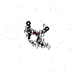 CC(C)(C)OC(=O)N[C@H]1CCCCCCC[C@@H]2C[C@@]2(C(=O)NS(=O)(=O)c2cc3ccccc3o2)NC(=O)[C@@H]2C[C@@H](OC(=O)N3Cc4cccc(F)c4C3)CN2C1=O